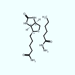 CCCCCC(=O)NN.NC(=O)CCCC[C@@H]1SC[C@@H]2NC(=O)N[C@@H]21